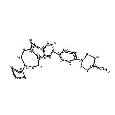 CN1CCN(c2cnc(-c3ccc4nc5n(c4c3)CCN(C3=CC=C3)CC5)cn2)CC1